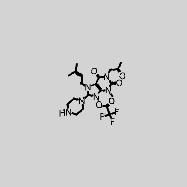 CC(=O)Cn1c(=O)c2c(n(C)c1=O)N(OC(=O)C(F)(F)F)C(N1CCNCC1)N2CC=C(C)C